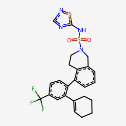 O=S(=O)(Nc1ncns1)N1CCc2c(cccc2-c2ccc(C(F)(F)F)cc2C2=CCCCC2)C1